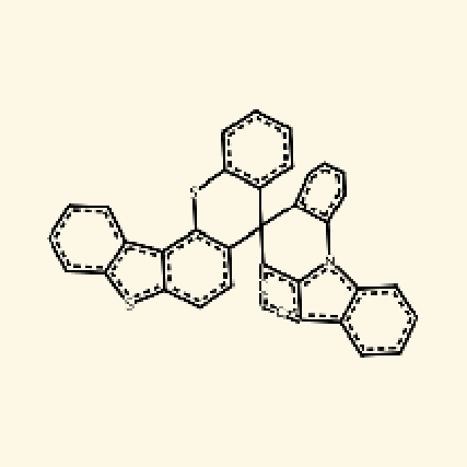 c1ccc2c(c1)Sc1c(ccc3sc4ccccc4c13)C21c2ccccc2-n2c3ccccc3c3cccc1c32